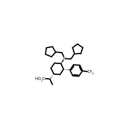 CC(C(=O)O)[C@@H]1CC[C@@H](N(CC2CCCC2)CC2CCCC2)[C@H](c2ccc(C(F)(F)F)cc2)C1